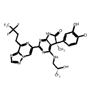 C[C@@]1(c2ccc(Cl)c(O)c2)C(=O)Nc2nc(-c3cn4ncnc4c(CCC(F)(F)C(F)(F)F)n3)nc(NC[C@H](O)C(F)(F)F)c21